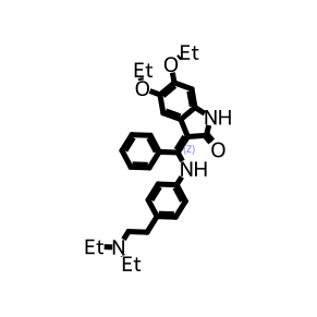 CCOc1cc2c(cc1OCC)/C(=C(/Nc1ccc(CCN(CC)CC)cc1)c1ccccc1)C(=O)N2